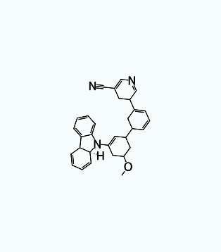 COC1CC(N2c3ccccc3C3C=CC=C[C@@H]32)=CC(C2C=CC=C(C3C=NC=C(C#N)C3)C2)C1